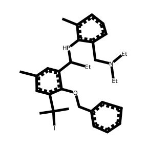 CCC(Pc1c(C)cccc1CN(CC)CC)c1cc(C)cc(C(C)(C)I)c1OCc1ccccc1